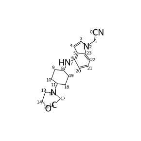 N#CCn1ccc2c(NC3CCC(N4CCOCC4)CC3)cccc21